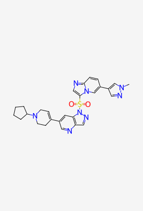 Cn1cc(-c2ccc3ncc(S(=O)(=O)n4ncc5ncc(C6=CCN(C7CCCC7)CC6)cc54)n3c2)cn1